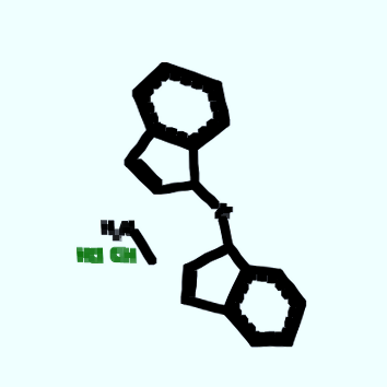 C1=C[CH]([Zr][CH]2C=Cc3ccccc32)c2ccccc21.Cl.Cl.[CH3][AlH2]